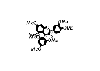 COc1cc(OC)c([C@@H]2C(=O)[C@@H](c3ccc(OC)c(OC)c3)Oc3cc(OC)cc(OC)c32)c(OC)c1